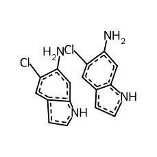 Nc1cc2[nH]ccc2cc1Cl.Nc1cc2[nH]ccc2cc1Cl